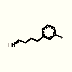 N=CCCCc1cccc(F)c1